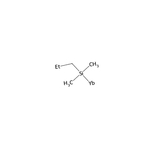 CCC[Si](C)(C)[Yb]